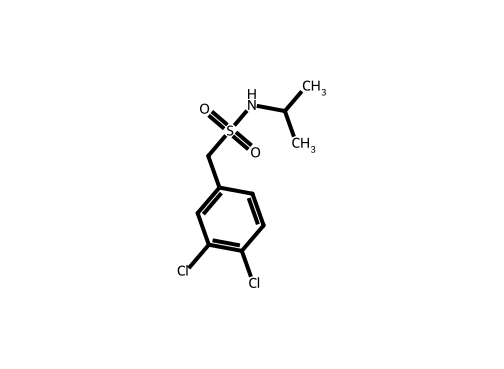 CC(C)NS(=O)(=O)Cc1ccc(Cl)c(Cl)c1